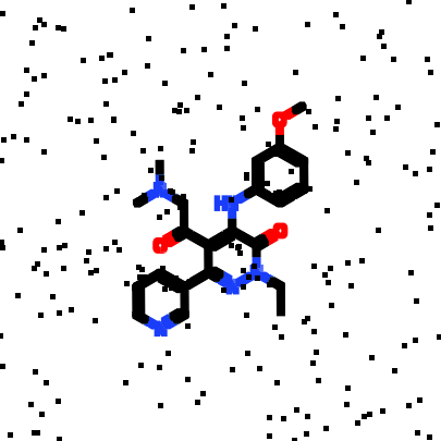 CCn1nc(-c2cccnc2)c(C(=O)CN(C)C)c(Nc2cccc(OC)c2)c1=O